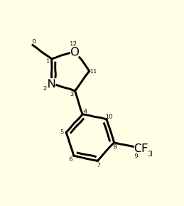 CC1=NC(c2cccc(C(F)(F)F)c2)CO1